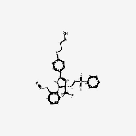 N=NCc1ccccc1[C@H]1OC(c2ccc(OCCCO)cc2)=N[C@@]1(CCS(=O)(=O)c1ccccc1)C(N)=O